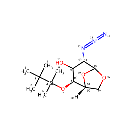 CC(C)(C)[Si](C)(C)O[C@H]1C(O)[C@H](N=[N+]=[N-])C2OC[C@H]1O2